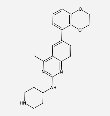 Cc1nc(NC2CCNCC2)nc2ccc(-c3cccc4c3OCCO4)cc12